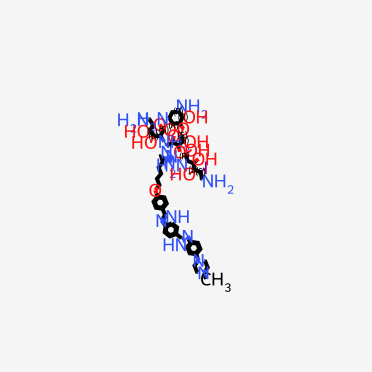 CN1CCN(c2ccc3nc(-c4ccc5nc(-c6ccc(OCCCCc7cn(CC8O[C@@H](OC9[C@H](O[C@@H]%10OC(CN)[C@@H](O)[C@H](O)C%10N)C(N)C[C@@H](N)[C@H]9O)[C@@H](O)C8O[C@@H](O)C(N)C(O)[C@H](O)[C@@H](I)CN)nn7)cc6)[nH]c5c4)[nH]c3c2)CC1